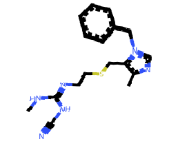 CNC(=NCCSCc1c(C)ncn1Cc1ccccc1)NC#N